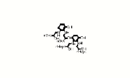 CCCCCCCC(O)CNc1cccc(O)c1NCC(O)CCCCCCC.CCCCCCCCC(O)CNc1cccc(O)c1NCC(O)CCCCCCCC